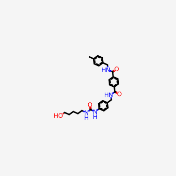 Cc1ccc(CNC(=O)c2ccc(C(=O)NCc3ccc(NC(=O)NCCCCCO)cc3)cc2)cc1